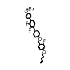 C=CCCCOc1ccc(COC2CCC(c3ccc(-c4ccc(OCCCC)cc4)c(F)c3F)CC2)c(F)c1